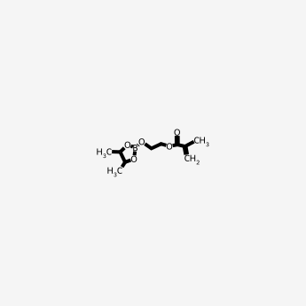 C=C(C)C(=O)OCCOB1OC(C)C(C)O1